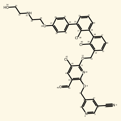 N#Cc1cncc(COc2nc(OCc3cccc(-c4cccc(-c5ccc(OCCNCCO)cc5)c4Cl)c3Cl)c(Cl)cc2C=O)c1